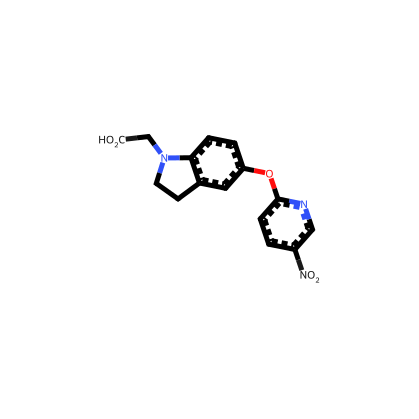 O=C(O)CN1CCc2cc(Oc3ccc([N+](=O)[O-])cn3)ccc21